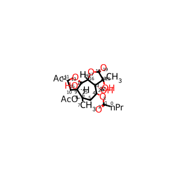 CCCC(=O)O[C@H]1C[C@](C)(OC(C)=O)[C@H]2C[C@H](C(C)=O)O[C@@]2(O)[C@@H]2OC(=O)[C@@](C)(O)[C@@]12O